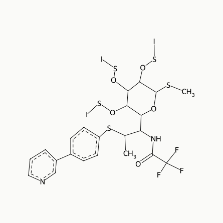 CSC1OC(C(NC(=O)C(F)(F)F)C(C)Sc2ccc(-c3cccnc3)cc2)C(OSI)C(OSI)C1OSI